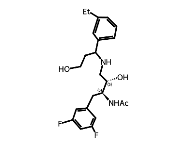 CCc1cccc(C(CCO)NC[C@H](O)[C@H](Cc2cc(F)cc(F)c2)NC(C)=O)c1